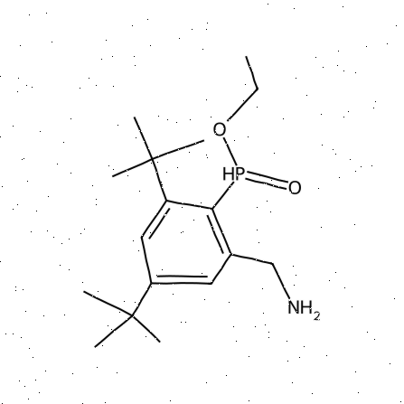 CCO[PH](=O)c1c(CN)cc(C(C)(C)C)cc1C(C)(C)C